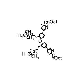 CCCCCCCCOc1ncc(-c2ccc(Oc3ccc(-c4cnc(OCCCCCCCC)nc4)cc3CCCC[Si](C)(C)C)c(CCCC[Si](C)(C)C)c2)cn1